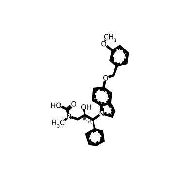 COc1cccc(COc2ccc3c(ccn3[C@@H](c3ccccc3)[C@H](O)CN(C)C(=O)O)c2)c1